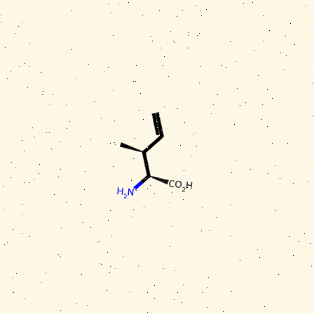 C=C[C@H](C)[C@H](N)C(=O)O